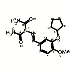 COc1ccc(/C=N/N(C(N)=O)C(N)=O)cc1OC1CCCC1